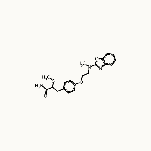 CSC(Cc1ccc(OCCN(C)c2nc3ccccc3o2)cc1)C(N)=O